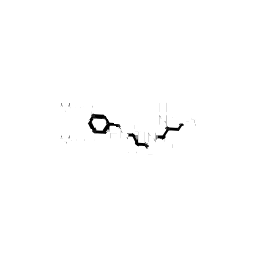 CCC(NC(=O)C(N)CC(C)C)C(=O)C(=O)NCc1cc(OC)cc(OC)c1